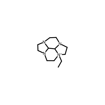 CC[N+]12CCN3CCN4CCN(CC1)C2C43